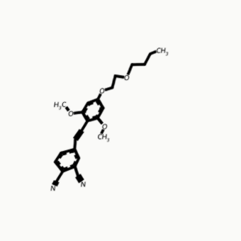 CCCCOCCOc1cc(OC)c(C#Cc2ccc(C#N)c(C#N)c2)c(OC)c1